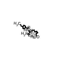 C=C(N)c1nc(Cc2ccc(C(=O)O)o2)[nH]c1NC(=O)c1ccc(CCC)cc1